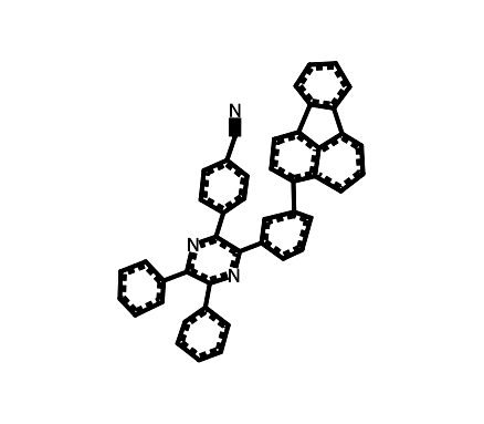 N#Cc1ccc(-c2nc(-c3ccccc3)c(-c3ccccc3)nc2-c2cccc(-c3ccc4c5c(cccc35)-c3ccccc3-4)c2)cc1